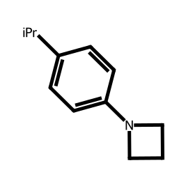 CC(C)c1ccc(N2CCC2)cc1